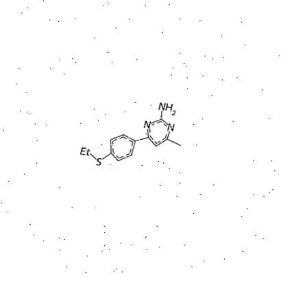 CCSc1ccc(-c2cc(C)nc(N)n2)cc1